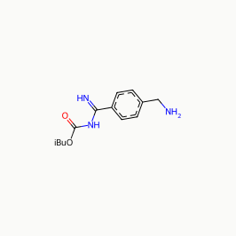 CC(C)COC(=O)NC(=N)c1ccc(CN)cc1